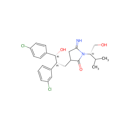 CC(C)[C@@H](CO)N1C(=N)CC(C[C@H](c2cccc(Cl)c2)[C@@H](O)c2ccc(Cl)cc2)C1=O